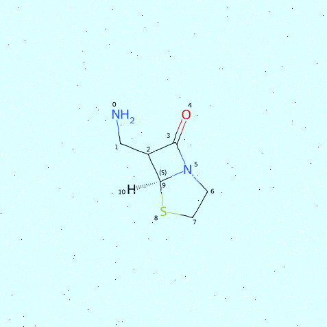 NCC1C(=O)N2CCS[C@@H]12